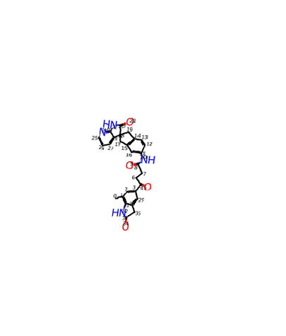 Cc1cc(C(=O)CCC(=O)Nc2ccc3c(c2)CC2(C3)C(=O)Nc3ncccc32)cc2c1NC(=O)C2